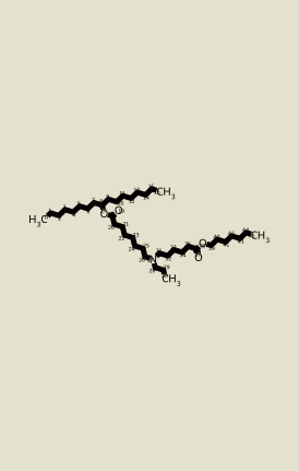 CCCCCCCCC(CCCCCCCC)OC(=O)CCCCCCCN(CCC)CCCCCC(=O)OCCCCCCC